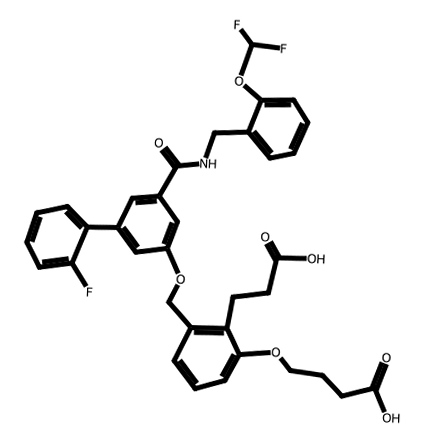 O=C(O)CCCOc1cccc(COc2cc(C(=O)NCc3ccccc3OC(F)F)cc(-c3ccccc3F)c2)c1CCC(=O)O